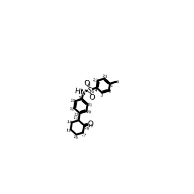 Cc1ccc(S(=O)(=O)Nc2ccc(C3CCCCC3=O)cc2)cc1